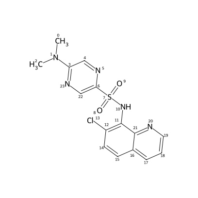 CN(C)c1cnc(S(=O)(=O)Nc2c(Cl)ccc3cccnc23)cn1